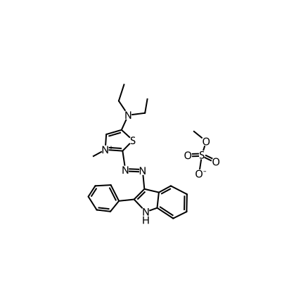 CCN(CC)c1c[n+](C)c(N=Nc2c(-c3ccccc3)[nH]c3ccccc23)s1.COS(=O)(=O)[O-]